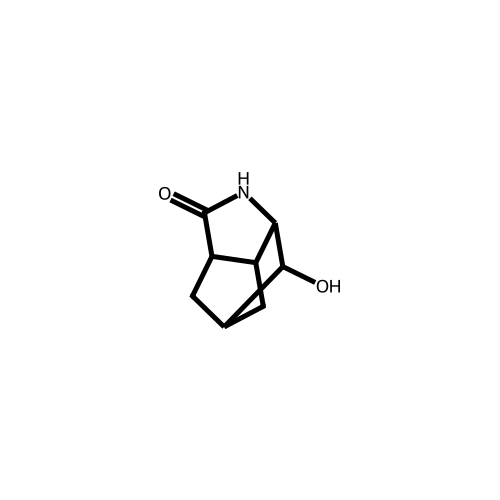 O=C1NC2C(O)C3CC1C2C3